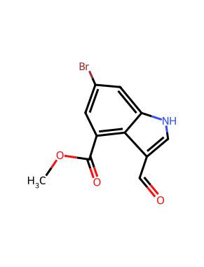 COC(=O)c1cc(Br)cc2[nH]cc(C=O)c12